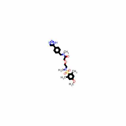 COc1cc(C)c(S(=O)(=O)N(C)CCOCC(=O)N(C)Cc2ccc(-c3cnn[nH]3)cc2)c(C)c1